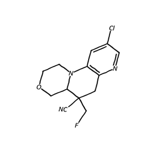 N#CC1(CF)Cc2ncc(Cl)cc2N2CCOCC21